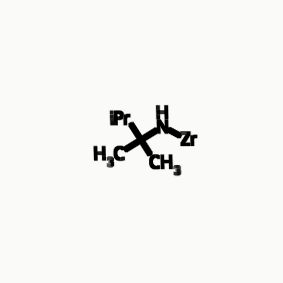 CC(C)C(C)(C)[NH][Zr]